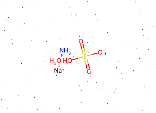 N.O.O=S(=O)([O-])O.[Na+]